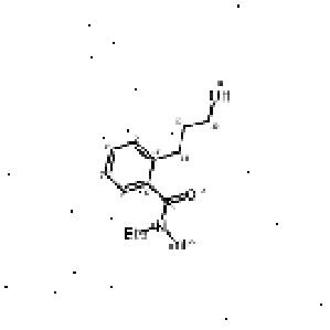 CCCN(CC)C(=O)c1ccccc1CCCO